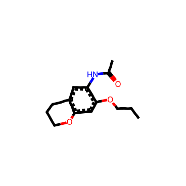 CCCOc1cc2c(cc1NC(C)=O)CCCO2